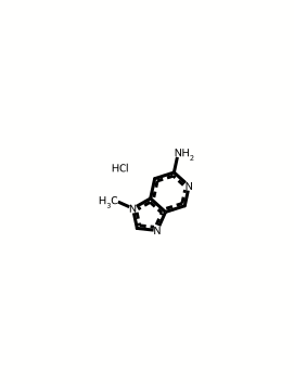 Cl.Cn1cnc2cnc(N)cc21